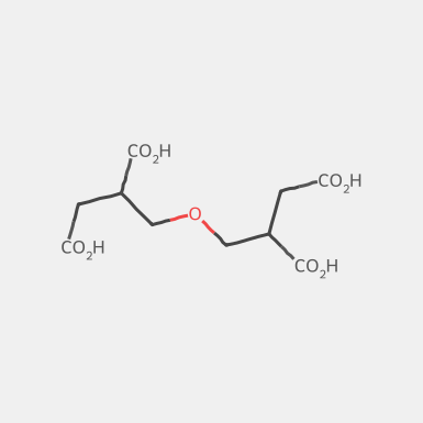 O=C(O)CC(COCC(CC(=O)O)C(=O)O)C(=O)O